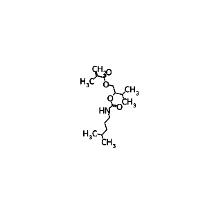 C=C(C)C(=O)OCC(OC(=O)NCCCC(C)C)C(C)C